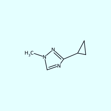 Cn1cnc(C2CC2)n1